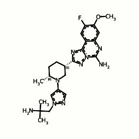 COc1cc2nc(N)n3nc([C@H]4CC[C@@H](C)N(c5cnn(CC(C)(C)N)c5)C4)nc3c2cc1F